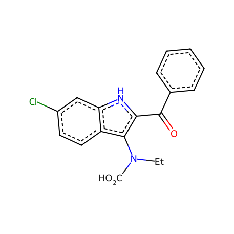 CCN(C(=O)O)c1c(C(=O)c2ccccc2)[nH]c2cc(Cl)ccc12